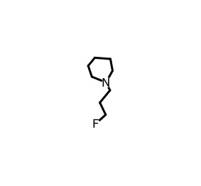 FCCCN1CCCCC1